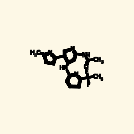 CC(=O)Nc1cc(Nc2cccc(C(C)(F)F)n2)c(-c2ccn(C)n2)cn1